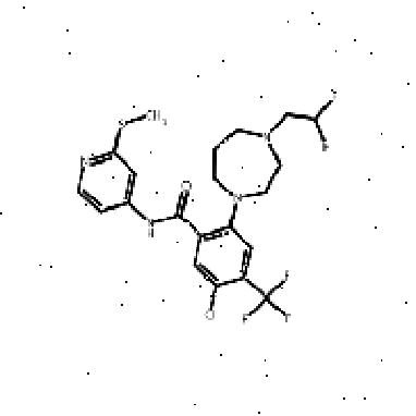 CSc1cc(NC(=O)c2cc(Cl)c(C(F)(F)F)cc2N2CCCN(CC(F)F)CC2)ccn1